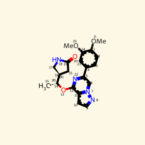 COc1ccc(-c2cn3nccc3c(O[C@H](C)[C@H]3CNC(=O)C3)n2)cc1OC